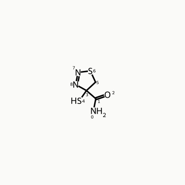 NC(=O)C1(S)CSN=N1